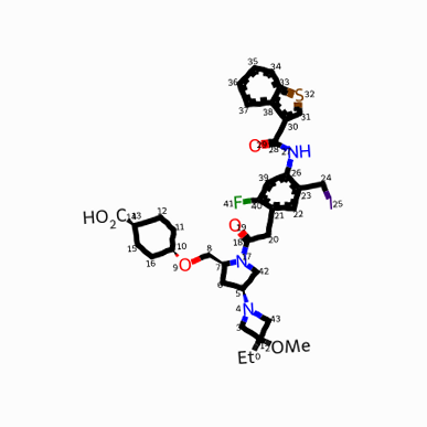 CCC1(OC)CN([C@H]2C[C@@H](CO[C@H]3CC[C@H](C(=O)O)CC3)N(C(=O)Cc3cc(CI)c(NC(=O)c4csc5ccccc45)cc3F)C2)C1